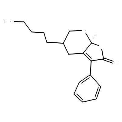 CCCCCC1CO[C@H]2OC(=O)C(c3ccccc3)=C2C1